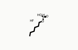 CCCCCCO[PH](=O)O.F